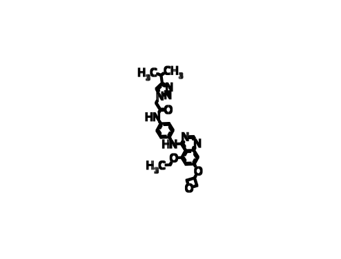 CCOc1cc(OC2COC2)cc2ncnc(Nc3ccc(NC(=O)Cn4cc(C(C)C)nn4)cc3)c12